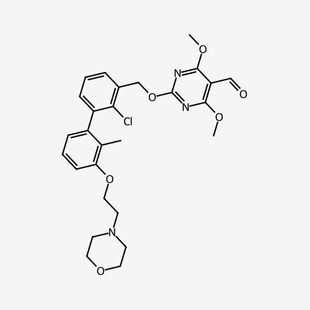 COc1nc(OCc2cccc(-c3cccc(OCCN4CCOCC4)c3C)c2Cl)nc(OC)c1C=O